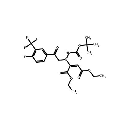 CCOC(=O)C=C(C(=O)OCC)N(CC(=O)c1ccc(F)c(C(F)(F)F)c1)NC(=O)OC(C)(C)C